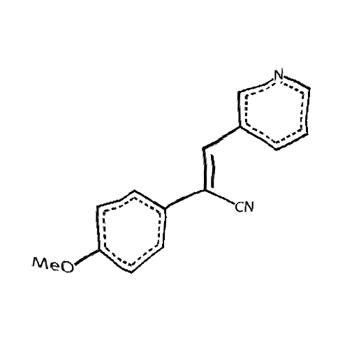 COc1ccc(C(C#N)=Cc2cccnc2)cc1